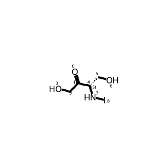 O=C(CO)[C@H](CO)NI